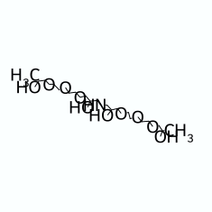 CC(O)COCCOCCOCC(O)CNCC(O)COCCOCCOCC(C)O